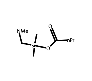 CCCC(=O)O[Si](C)(C)CNC